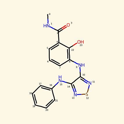 CNC(=O)c1cccc(Nc2nsnc2Nc2ccccc2)c1O